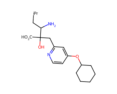 CC(C)CC(N)C(O)(Cc1cc(OC2CCCCC2)ccn1)C(=O)O